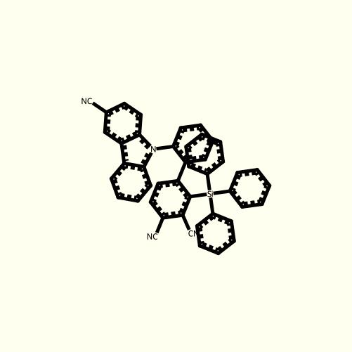 N#Cc1ccc2c(c1)c1ccccc1n2-c1ccccc1-c1ccc(C#N)c(C#N)c1[Si](c1ccccc1)(c1ccccc1)c1ccccc1